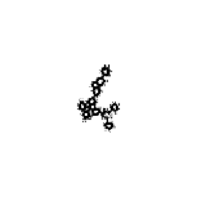 c1ccc(-c2nc(-c3ccccc3)nc(-c3ccc4c(c3)-c3cc(-c5ccc6c(ccc7cc(-c8ccncc8)ccc76)c5)ccc3C4(c3ccccc3)c3ccccc3)n2)cc1